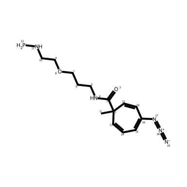 CC1(C(=O)NCCCOCCNP)C=CC=C(N=[N+]=[N-])C=C1